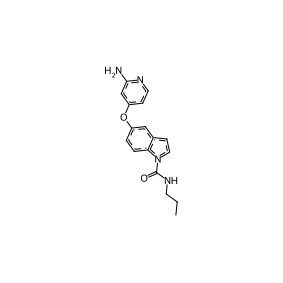 CCCNC(=O)n1ccc2cc(Oc3ccnc(N)c3)ccc21